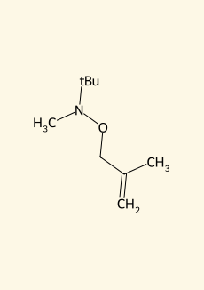 C=C(C)CON(C)C(C)(C)C